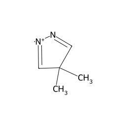 CC1(C)C=N[N+]=C1